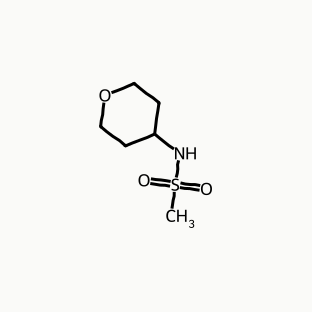 CS(=O)(=O)NC1CCOCC1